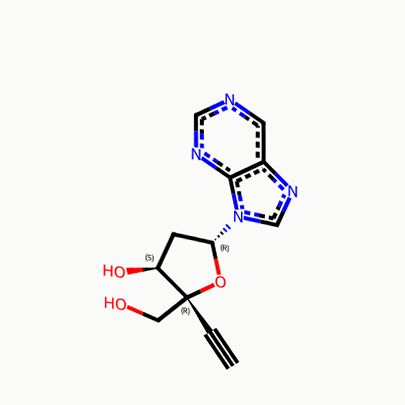 C#C[C@]1(CO)O[C@@H](n2cnc3cncnc32)C[C@@H]1O